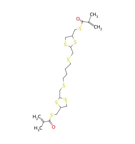 C=C(C)C(=O)SCC1CSC(CSCCCCSCC2SCC(CSC(=O)C(=C)C)S2)S1